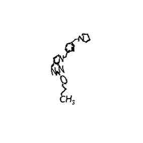 CCCCOc1ncc2ccn(Cc3ccc(CN4CCCC4)cc3)c2n1